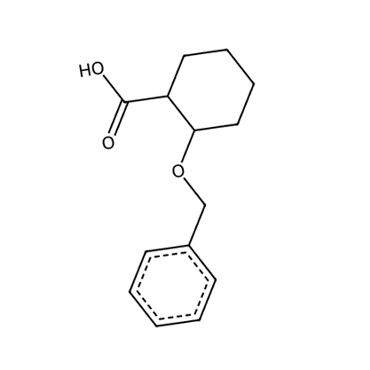 O=C(O)C1CCCCC1OCc1ccccc1